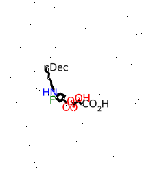 CCCCCCCCCCCCCCCCNc1ccc(C(=O)OC(=O)C(O)CC(=O)O)cc1F